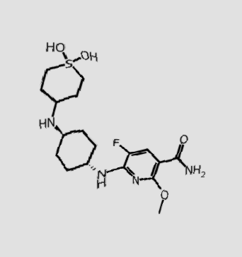 COc1nc(N[C@H]2CC[C@H](NC3CCS(O)(O)CC3)CC2)c(F)cc1C(N)=O